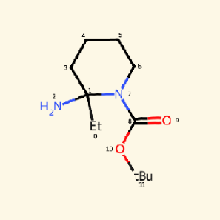 CCC1(N)CCCCN1C(=O)OC(C)(C)C